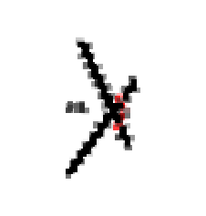 CCCCCCCCCCCCC/C(C(=O)OCCCC)=C(\CCCCCCCCCCCCC)C(=O)OCCCC.[SnH4]